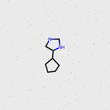 C1CCC(C2C[N]CN2)C1